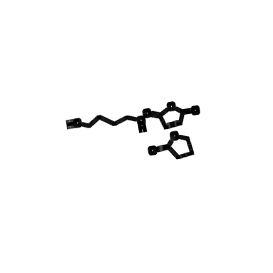 O=C1C=CC(=O)O1.O=C1CCCO1.OCCCCO